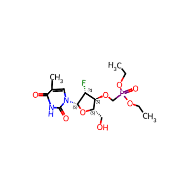 CCOP(=O)(CO[C@@H]1[C@@H](F)[C@@H](n2cc(C)c(=O)[nH]c2=O)O[C@H]1CO)OCC